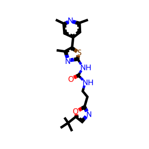 Cc1cc(-c2sc(NC(=O)NCCc3ncc(C(C)(C)C)o3)nc2C)cc(C)n1